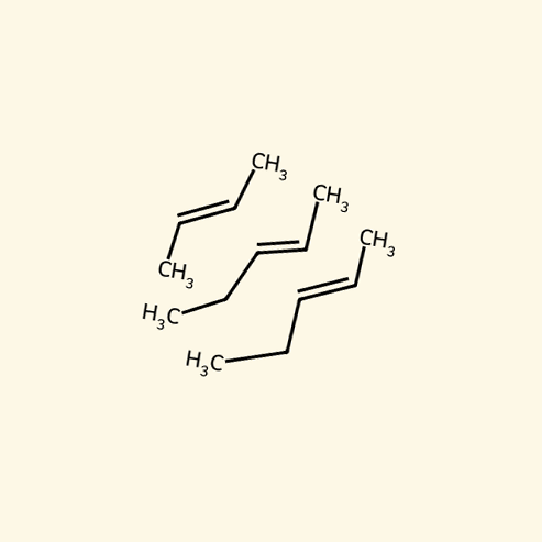 CC=CC.CC=CCC.CC=CCC